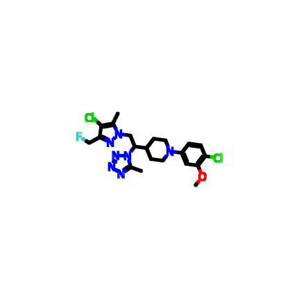 COc1cc(N2CCC(C(Cn3nc(CF)c(Cl)c3C)n3nnnc3C)CC2)ccc1Cl